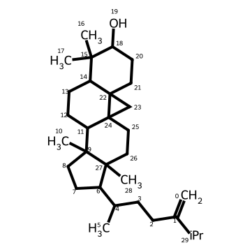 C=C(CCC(C)C1CCC2(C)C3CCC4C(C)(C)C(O)CCC45CC35CCC12C)C(C)C